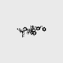 COCC(C)(C)[C@@H](O)N1CCC[C@@H](NC(=O)c2sc3nccc4c3c2NC(=O)N4c2ccc(Oc3ccccc3)cc2C)C1